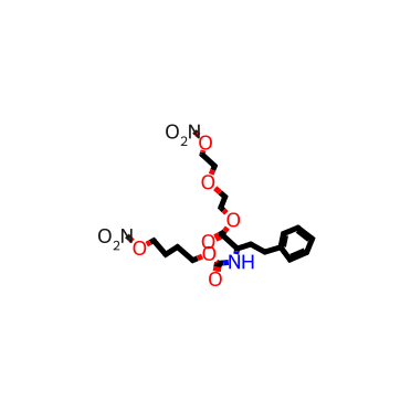 O=C(NC(CCc1ccccc1)C(=O)OCCOCCO[N+](=O)[O-])OCCCCO[N+](=O)[O-]